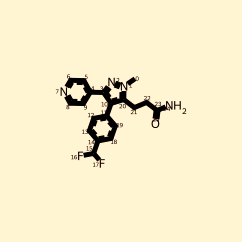 Cn1nc(-c2ccncc2)c(-c2ccc(C(F)F)cc2)c1CCC(N)=O